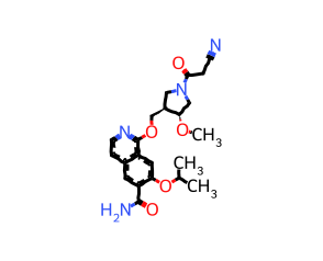 CO[C@H]1CN(C(=O)CC#N)C[C@@H]1COc1nccc2cc(C(N)=O)c(OC(C)C)cc12